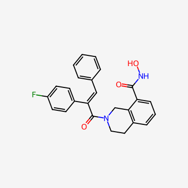 O=C(NO)c1cccc2c1CN(C(=O)/C(=C/c1ccccc1)c1ccc(F)cc1)CC2